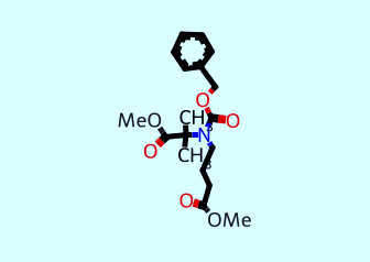 COC(=O)CCCN(C(=O)OCc1ccccc1)C(C)(C)C(=O)OC